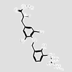 COC(=O)[C@@H](F)Cc1cc(Br)c(OCc2cccc(NS(C)(=O)=O)c2Cl)c(Br)c1